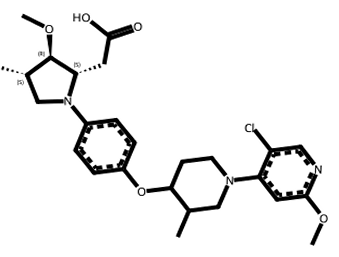 COc1cc(N2CCC(Oc3ccc(N4C[C@H](C)[C@@H](OC)[C@@H]4CC(=O)O)cc3)C(C)C2)c(Cl)cn1